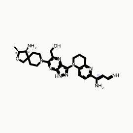 C[C@@H]1OCC2(CCN(c3nc4[nH]nc(N5CCCc6nc(/C(N)=C/C=N)ccc65)c4nc3CO)CC2)[C@@H]1N